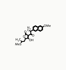 COc1ccc2cc(C(C)C(=O)C3=C(O)C(CC(C)SC)OC3=O)ccc2c1